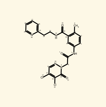 Cc1ccc(NC(=O)Cn2ncc(Cl)c(Cl)c2=O)cc1C(=O)NCCc1ccccn1